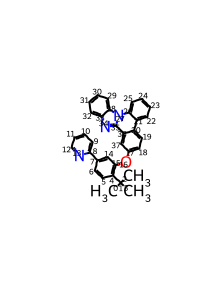 CC(C)(C)c1ccc(-c2ccccn2)cc1Oc1ccc2c3ccccc3n3c4ccccc4nc3c2c1